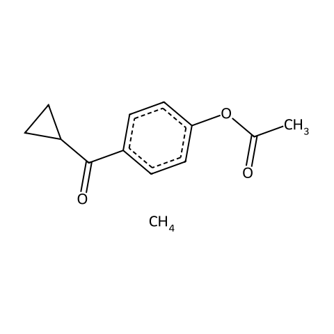 C.CC(=O)Oc1ccc(C(=O)C2CC2)cc1